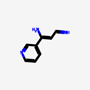 N=C/C=C(\N)c1cccnc1